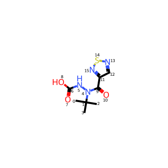 CC(C)(C)N(NC(=O)O)C(=O)c1cnsn1